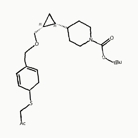 CC(=O)CSC1C=CC(COC[C@@H]2C[C@@H]2C2CCN(C(=O)OC(C)(C)C)CC2)=CC1